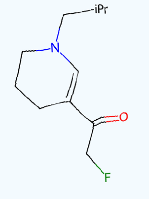 CC(C)CN1C=C(C(=O)CF)CCC1